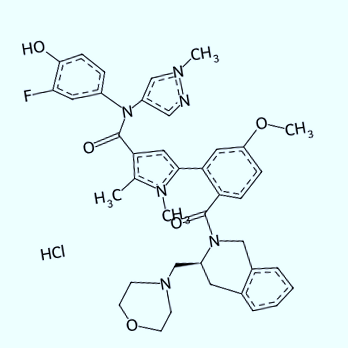 COc1ccc(C(=O)N2Cc3ccccc3C[C@H]2CN2CCOCC2)c(-c2cc(C(=O)N(c3ccc(O)c(F)c3)c3cnn(C)c3)c(C)n2C)c1.Cl